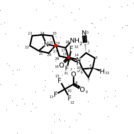 N#C[C@@H]1C[C@@H]2C[C@@]2(OC(=O)C(F)(F)F)N1C(=O)C(N)C1CC2CCC(C1)N2CCC(F)(F)F